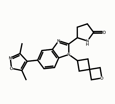 Cc1noc(C)c1-c1ccc2c(c1)nc(C1CCC(=O)N1)n2C1CC2(COC2)C1